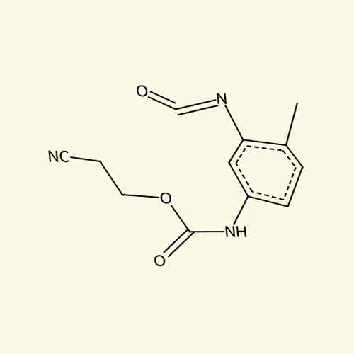 Cc1ccc(NC(=O)OCCC#N)cc1N=C=O